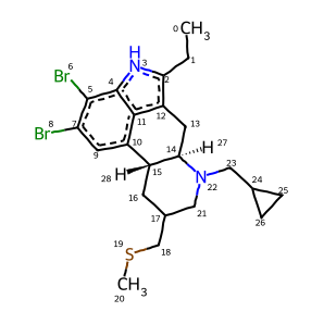 CCc1[nH]c2c(Br)c(Br)cc3c2c1C[C@@H]1[C@@H]3CC(CSC)CN1CC1CC1